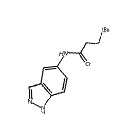 CC(C)(C)CCC(=O)Nc1ccc2[nH]ncc2c1